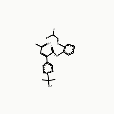 CC(=N)/C=C(\C(=O)Nc1ccccc1OCC(F)F)c1ccc(C(C)(C)O)cc1